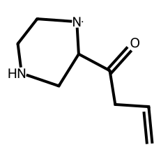 C=CCC(=O)C1CNCC[N]1